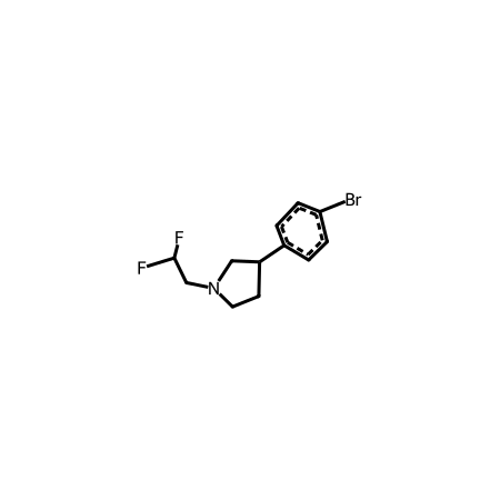 FC(F)CN1CCC(c2ccc(Br)cc2)C1